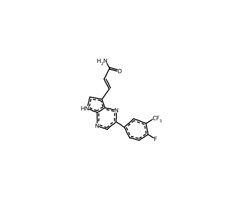 NC(=O)C=Cc1c[nH]c2ncc(-c3ccc(F)c(C(F)(F)F)c3)nc12